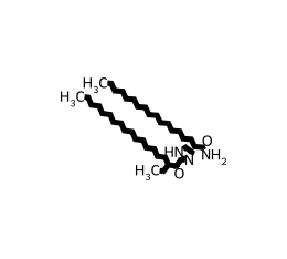 CCCCCCCCCCCCCCCCC(CC)C(=O)C1=NCCN1.CCCCCCCCCCCCCCCCCC(N)=O